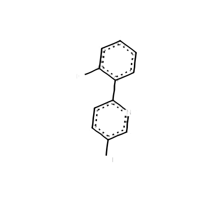 Cc1ccc(-c2ccccc2O)nc1